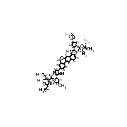 CC[C@@H](C)[C@H](NC(=O)OC)C(=O)N1C[C@@H](C)C[C@H]1c1ncc(-c2ccc3c(c2)COc2cc4c(ccc5nc([C@@H]6C[C@H](COC)CN6C(=O)OC(C)(C)C)[nH]c54)cc2-3)[nH]1